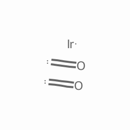 [C]=O.[C]=O.[Ir]